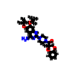 [2H]C([2H])([2H])Oc1cc2nc(N3CCN(C(=O)C4([2H])COc5ccccc5O4)CC3)nc(N)c2cc1OC([2H])([2H])[2H]